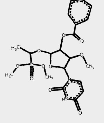 COC1C(OC(=O)c2ccccc2)C(OC(C)P(=O)(OC)OC)OC1n1ccc(=O)[nH]c1=O